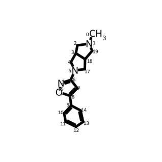 CN1CC2CN(c3cc(-c4ccccc4)on3)CC2C1